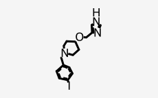 Ic1ccc(CN2CCC(OCc3c[nH]cn3)CC2)cc1